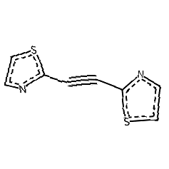 C(#Cc1nccs1)c1nccs1